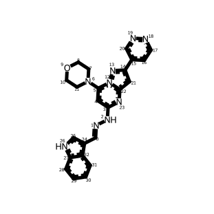 C(=N\Nc1cc(N2CCOCC2)n2nc(-c3ccnnc3)cc2n1)/c1c[nH]c2ccccc12